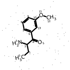 CCC(N)C(=O)c1cccc(OC)c1